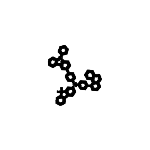 CC1(C)c2ccccc2-c2ccc(N(c3ccc(-c4ccc5c(c4)c4ccccc4n5-c4ccccc4)cc3)c3ccc(-c4cccc5ccc6ccccc6c45)cc3)cc21